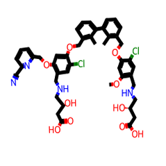 COc1cc(OCc2cccc(-c3cccc(COc4cc(OCc5cccc(C#N)n5)c(CNC[C@@H](O)CC(=O)O)cc4Cl)c3C)c2C)c(Cl)cc1CNC[C@@H](O)CC(=O)O